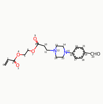 C=CC(=O)OCCOC(=O)CCN1CCN(c2ccc(C=O)cc2)CC1